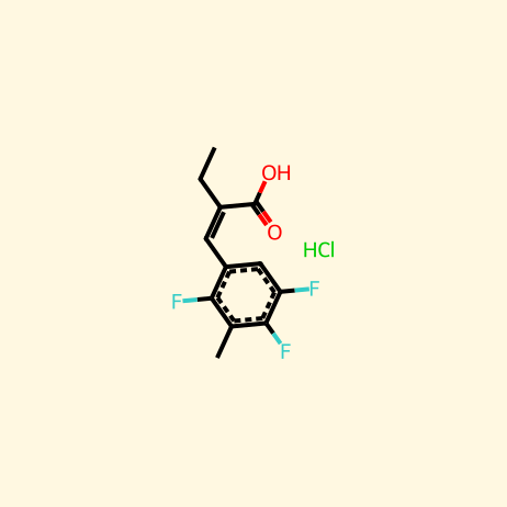 CCC(=Cc1cc(F)c(F)c(C)c1F)C(=O)O.Cl